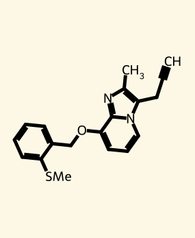 C#CCc1c(C)nc2c(OCc3ccccc3SC)cccn12